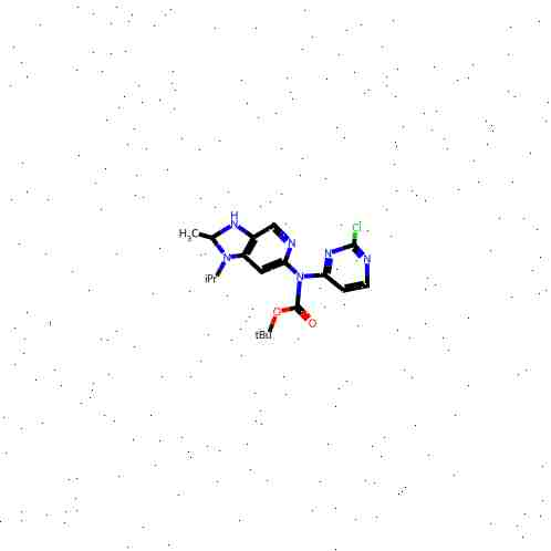 CC(C)N1c2cc(N(C(=O)OC(C)(C)C)c3ccnc(Cl)n3)ncc2NC1C